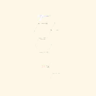 CC(C)C(=O)Oc1ccc2c(c1)C1(C)CCNC(C2)C1=O